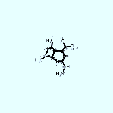 Cc1nn(C)c2nc(NN)cc(C(C)C)c12